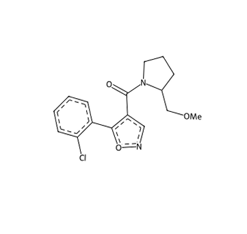 COCC1CCCN1C(=O)c1cnoc1-c1ccccc1Cl